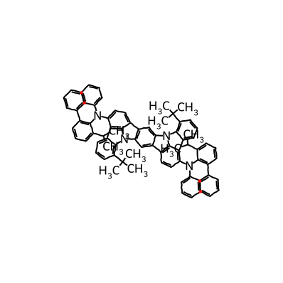 CC(C)c1cccc(-c2ccccc2)c1N(c1ccccc1)c1ccc2c3cc4c(cc3n3c5c(C(C)(C)C)cccc5c1c23)c1ccc(N(c2ccccc2)c2c(-c3ccccc3)cccc2C(C)C)c2c3cccc(C(C)(C)C)c3n4c12